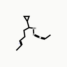 CC=C=NNC(CC/C=C/C)C1CC1